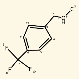 [CH2-][OH+]Cc1ccc(C(F)(F)F)cc1